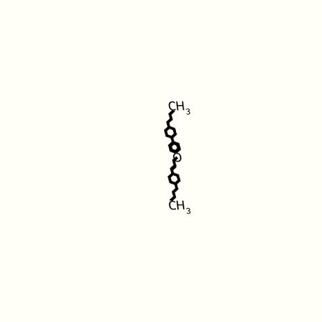 CCCCCC1CCC(C=CCOc2ccc(C3CCC(CCCCC)CC3)cc2)CC1